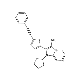 NC1=C(c2ccc(C#Cc3ccccc3)s2)N(C2CCCC2)C2=CN=CCN21